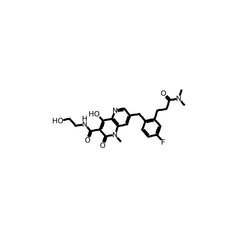 CN(C)C(=O)CCc1cc(F)ccc1Cc1cnc2c(O)c(C(=O)NCCO)c(=O)n(C)c2c1